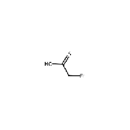 [CH2]CCC(O)=S